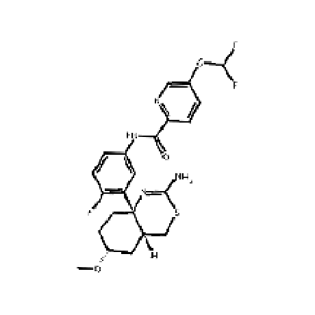 CO[C@@H]1CC[C@]2(c3cc(NC(=O)c4ccc(OC(F)F)cn4)ccc3F)N=C(N)SC[C@@H]2C1